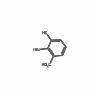 CCCCc1c(S)cccc1C(=O)O